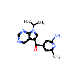 Cc1cc(C(=O)c2cn(C(C)C)c3ncncc23)cc(N)n1